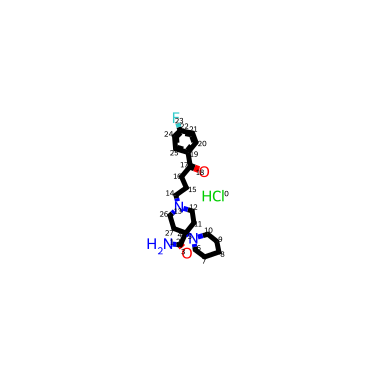 Cl.NC(=O)C1(N2CCCCC2)CCN(CCCC(=O)c2ccc(F)cc2)CC1